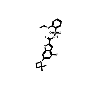 CCOc1ccccc1S(=O)(=O)NC(=O)c1cc2c(F)cc(N3CCC3(C)C)cc2o1